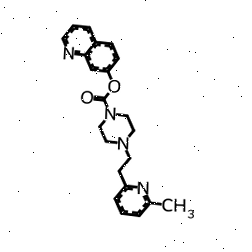 Cc1cccc(CCN2CCN(C(=O)Oc3ccc4cccnc4c3)CC2)n1